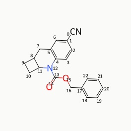 N#Cc1ccc2c(c1)CC1CCC1N2C(=O)OCc1ccccc1